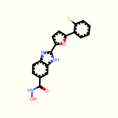 O=C(NO)c1ccc2nc(-c3ccc(-c4ccccc4F)o3)[nH]c2c1